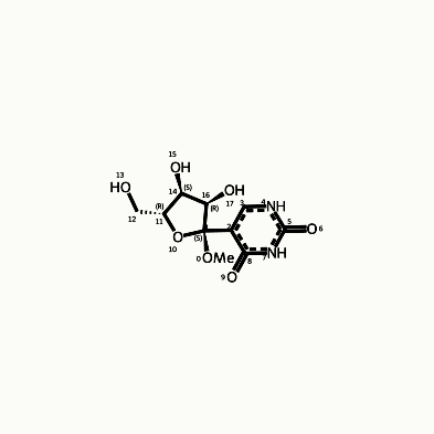 CO[C@@]1(c2c[nH]c(=O)[nH]c2=O)O[C@H](CO)[C@@H](O)[C@H]1O